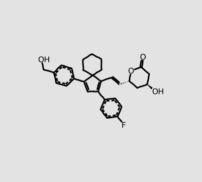 O=C1C[C@@H](O)C[C@H](C=CC2=C(c3ccc(F)cc3)C=C(c3ccc(CO)cc3)C23CCCCC3)O1